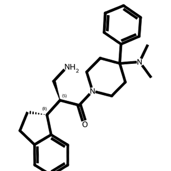 CN(C)C1(c2ccccc2)CCN(C(=O)[C@H](CN)[C@H]2CCc3ccccc32)CC1